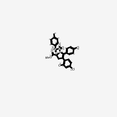 COC(=O)C1CC(c2ccc(Cl)cc2Cl)=C(c2ccc(Cl)cc2)N1S(=O)(=O)S(=O)(=O)c1ccc(C)cc1